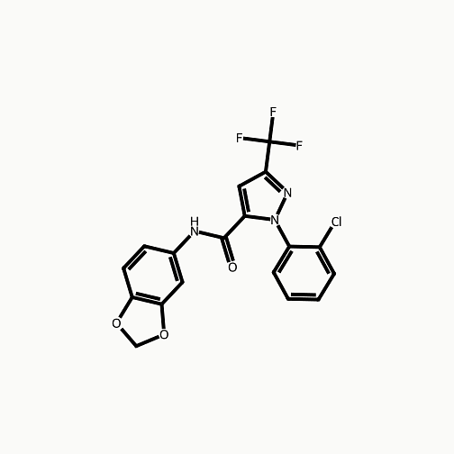 O=C(Nc1ccc2c(c1)OCO2)c1cc(C(F)(F)F)nn1-c1ccccc1Cl